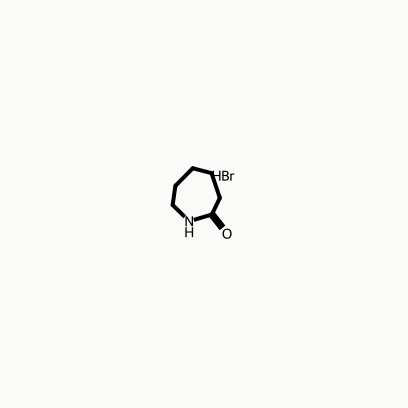 Br.O=C1CCCCCN1